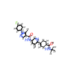 Cc1cc(NC(=O)c2cnn(-c3ccc(F)cc3)c2C)cnc1C1=CCC(C(=O)NC(C)(C)C)CC1